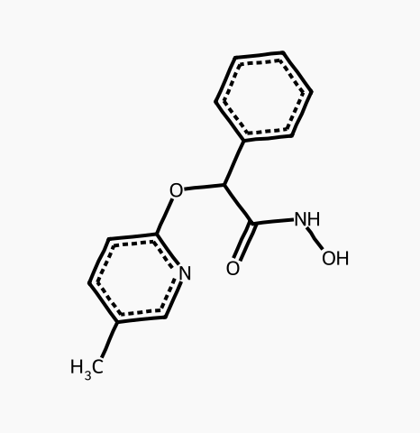 Cc1ccc(OC(C(=O)NO)c2ccccc2)nc1